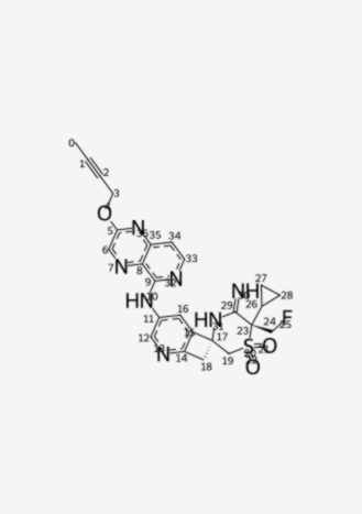 CC#CCOc1cnc2c(Nc3cnc4c(c3)[C@]3(C4)CS(=O)(=O)[C@@](CF)(C4CC4)C(=N)N3)nccc2n1